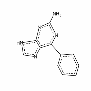 Nc1nc(-c2ccccc2)c2nc[nH]c2n1